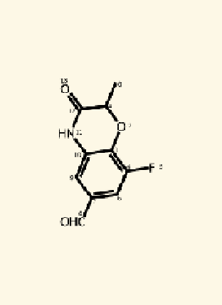 CC1Oc2c(F)cc(C=O)cc2NC1=O